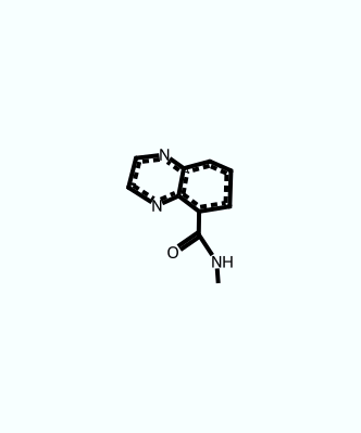 CNC(=O)c1cccc2nccnc12